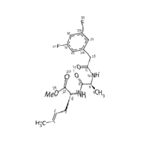 CC=CC[C@H](NC(=O)[C@H](C)NC(=O)Cc1cc(F)cc(F)c1)C(=O)OC